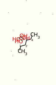 CCCCCC.OO.OO